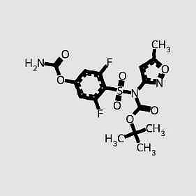 Cc1cc(N(C(=O)OC(C)(C)C)S(=O)(=O)c2c(F)cc(OC(N)=O)cc2F)no1